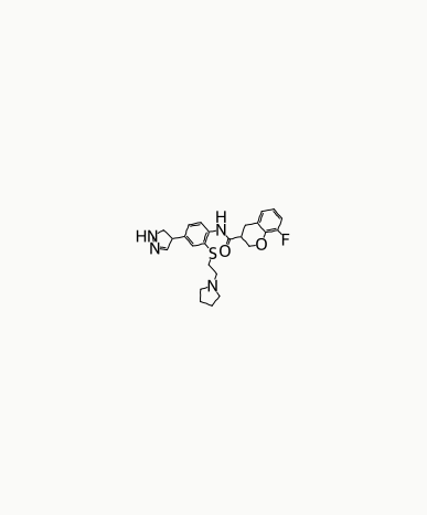 O=C(Nc1ccc(C2C=NNC2)cc1SCCN1CCCC1)C1COc2c(F)cccc2C1